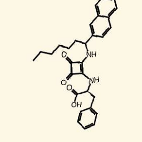 CCCCCCC(Nc1c(N[C@@H](Cc2ccccc2)C(=O)O)c(=O)c1=O)c1ccc2ccccc2c1